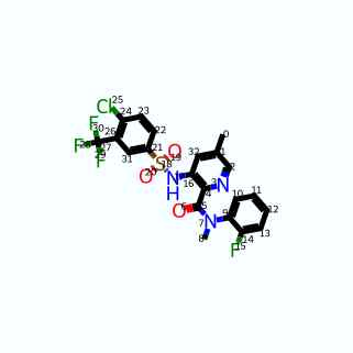 Cc1cnc(C(=O)N(C)c2ccccc2F)c(NS(=O)(=O)c2ccc(Cl)c(C(F)(F)F)c2)c1